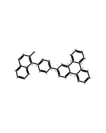 Cc1ccc2ccccc2c1-c1ccc(-c2ccc3c4ccccc4c4ccccc4c3c2)cc1